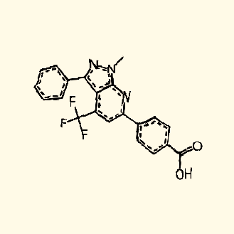 Cn1nc(-c2ccccc2)c2c(C(F)(F)F)cc(-c3ccc(C(=O)O)cc3)nc21